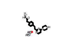 Cl.Cl.Cl.Cl.NNC(=O)Cc1ccc(CCc2nccc(N3CCNCC3)n2)cc1